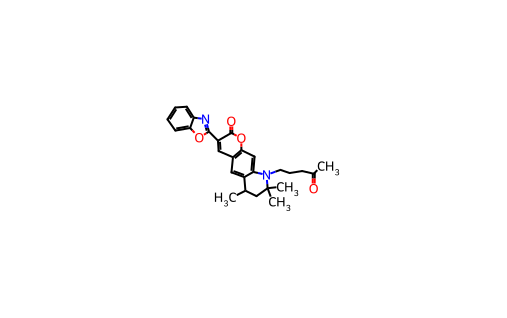 CC(=O)CCCN1c2cc3oc(=O)c(-c4nc5ccccc5o4)cc3cc2C(C)CC1(C)C